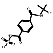 CCC(C)(C)NC(=O)c1ccc(C(=O)NS(=O)(=O)CC)cc1